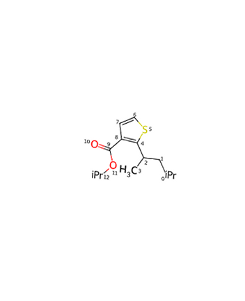 CC(C)CC(C)c1sccc1C(=O)OC(C)C